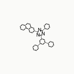 c1ccc(-c2cc(-c3ccccc3)cc(-c3nc(-c4ccccc4)nc(-c4ccc5c(ccc6ccccc65)c4)n3)c2)cc1